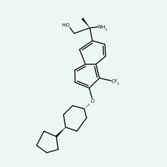 C[C@](N)(CO)c1ccc2c(C(F)(F)F)c(O[C@H]3CC[C@H](C4CCCC4)CC3)ccc2c1